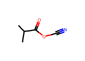 CC(C)C(=O)OC#N